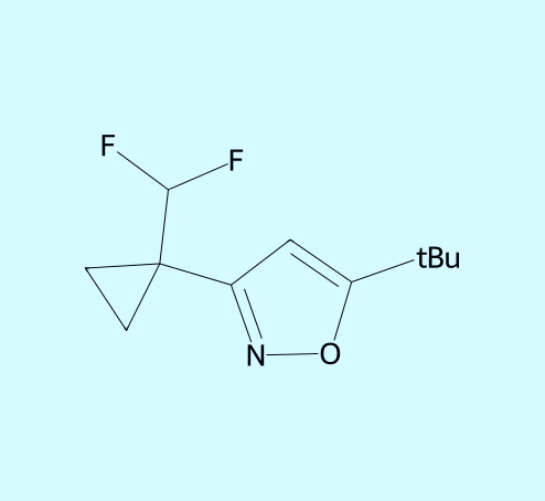 CC(C)(C)c1cc(C2(C(F)F)CC2)no1